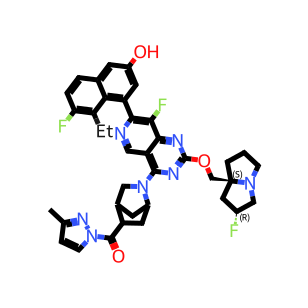 CCc1c(F)ccc2cc(O)cc(-c3ncc4c(N5CC6CC5CC6C(=O)n5ccc(C)n5)nc(OC[C@@]56CCCN5C[C@H](F)C6)nc4c3F)c12